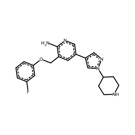 Nc1ncc(-c2cnn(C3CCNCC3)c2)cc1COc1cccc(F)c1